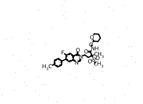 Cc1ccc(-c2cc3ncn(CC[C@](C)(C(=O)NOC4CCCCO4)S(C)(=O)=O)c(=O)c3cc2F)cc1